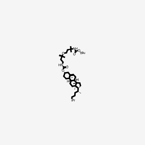 CC(C)CCC[C@@H](C)[C@H]1CC[C@@]2(C)[C@@H]3CC=C4C[C@@H](OC(=O)NCCC(C)(C)OCCC(C)(C)NC(=O)OC(C)(C)C)CC[C@]4(C)[C@H]3CC[C@]12C